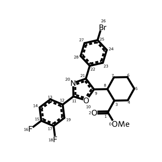 COC(=O)C1CCCCC1c1oc(-c2ccc(F)c(F)c2)nc1-c1ccc(Br)cc1